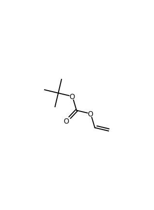 C=COC(=O)OC(C)(C)C